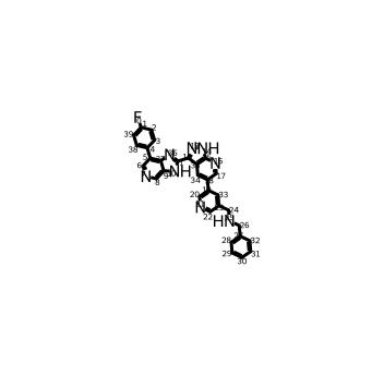 Fc1ccc(-c2cncc3[nH]c(-c4n[nH]c5ncc(-c6cncc(CNCc7ccccc7)c6)cc45)nc23)cc1